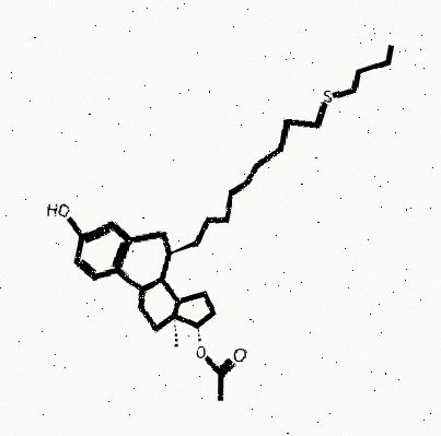 CCCCSCCCCCCCCC[C@@H]1Cc2cc(O)ccc2C2CC[C@@]3(C)C(CC[C@@H]3OC(C)=O)C21